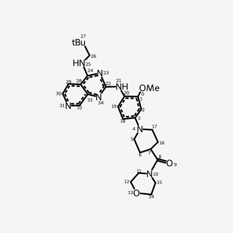 COc1cc(N2CCC(C(=O)N3CCOCC3)CC2)ccc1Nc1nc(NCC(C)(C)C)c2ccncc2n1